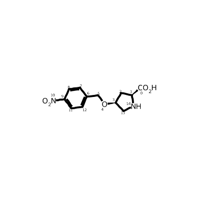 O=C(O)[C@@H]1C[C@H](OCc2ccc([N+](=O)[O-])cc2)CN1